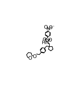 O=[N+]([O-])c1ccc(S(=O)(=O)NCC2(Cc3ccc(CCOC4CCCCO4)cc3)CCCC2)cc1